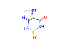 O=C1N[S+]([O-])Nc2nc[nH]c21